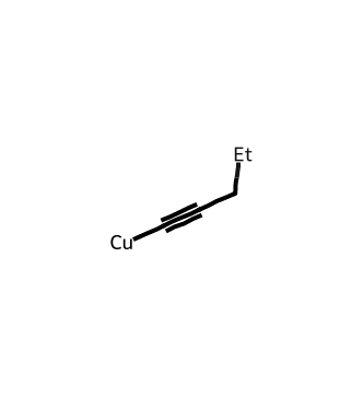 CCCC#[C][Cu]